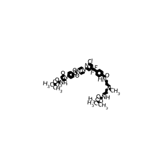 CN(CCCNC(=O)OC(C)(C)C)CCCNC(=O)C1CCC(C(F)(F)c2cc(Cl)nc(N3CCN(S(=O)(=O)c4ccc(N5C[C@H](NC(=O)OC(C)(C)C)CC5=O)cc4)CC3)c2)CC1